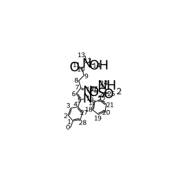 Cc1ccc(-c2cc(CCC(=O)N(C)O)nn2-c2ccccc2S(N)(=O)=O)cc1